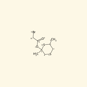 CC1CSCC(C)(OC(=O)CBr)S1